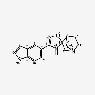 c1cc2cc(C3=NO[C@]4(CN5CCC4CC5)N3)ccc2s1